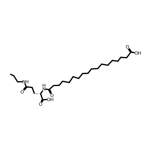 CCCNC(=O)CC[C@H](NC(=O)CCCCCCCCCCCCCCCCC(=O)O)C(=O)O